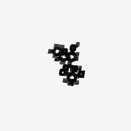 COc1ccc(C(=O)Nc2c(Cl)cncc2Cl)c2c1OC1(C=C2)CCCC1